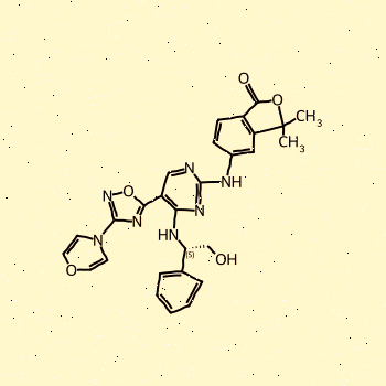 CC1(C)OC(=O)c2ccc(Nc3ncc(-c4nc(N5C=COC=C5)no4)c(N[C@H](CO)c4ccccc4)n3)cc21